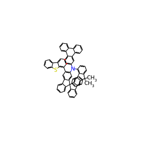 CC1(C)c2ccccc2-c2c(N(c3ccc4c5ccccc5c5ccccc5c4c3)c3cc4c(cc3-c3cccc5c3sc3ccccc35)-c3ccccc3C43c4ccccc4-c4ccccc43)cccc21